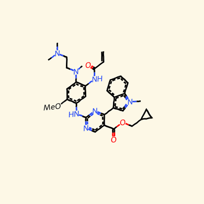 C=CC(=O)Nc1cc(Nc2ncc(C(=O)OCC3CC3)c(-c3cn(C)c4ccccc34)n2)c(OC)cc1N(C)CCN(C)C